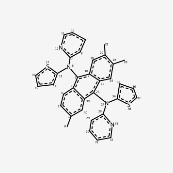 Cc1ccc2c(N(c3ccccn3)c3cccs3)c3cc(C)c(C)cc3c(N(c3ccccn3)c3cccs3)c2c1